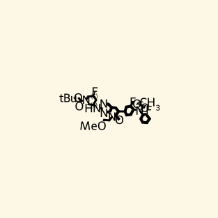 COCCn1c(=O)c(-c2ccc(N(c3ccccc3F)S(C)(=O)=O)c(F)c2)cc2cnc(N[C@H]3C[C@H](F)CN(C(=O)OC(C)(C)C)C3)nc21